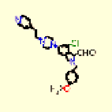 O=CC1c2c(Cl)cc(N3CCN(CCc4ccncc4)CC3)cc2CN1Cc1ccc(OC(F)(F)F)cc1